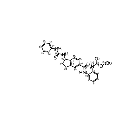 CC(C)(C)OC(=O)Nc1ccccc1NC(=O)c1ccc2c(c1)CCC2NC(=S)Nc1ccccc1